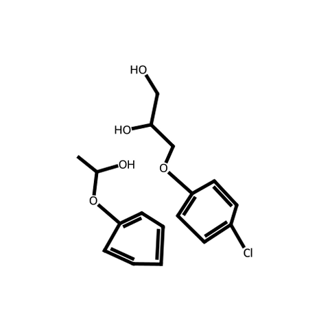 CC(O)Oc1ccccc1.OCC(O)COc1ccc(Cl)cc1